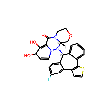 O=C1C2=C(O)C(O)C=CN2N([C@@H]2c3ccc(F)cc3-c3ccsc3-c3ccccc32)[C@H]2COCCN12